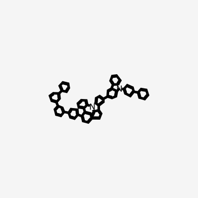 c1ccc(-c2ccc(-n3c4ccccc4c4cc(-c5ccc6c(c5)c5ccccc5n6-c5ccccc5-c5ccccc5-c5ccc(-c6cccc(-c7cccc(-c8ccccc8)c7)c6)cc5)ccc43)cc2)cc1